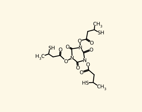 CC(S)CC(=O)On1c(=O)n(OC(=O)CC(C)S)c(=O)n(OC(=O)CC(C)S)c1=O